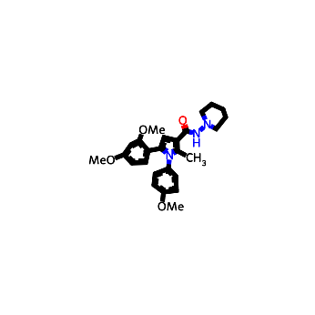 COc1ccc(-n2c(-c3ccc(OC)cc3OC)cc(C(=O)NN3CCCCC3)c2C)cc1